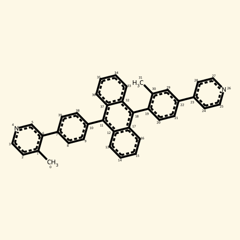 Cc1ccncc1-c1ccc(-c2c3ccccc3c(-c3ccc(-c4ccncc4)cc3C)c3ccccc23)cc1